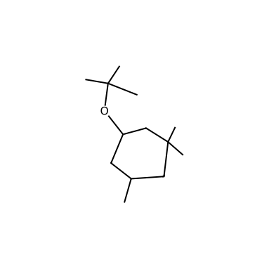 CC1CC(OC(C)(C)C)CC(C)(C)C1